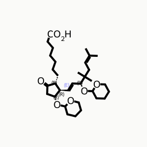 CC(C)=CCC(C)(C)[C@@H](/C=C/[C@H]1[C@H](OC2CCCCO2)CC(=O)[C@@H]1CCCCCCC(=O)O)OC1CCCCO1